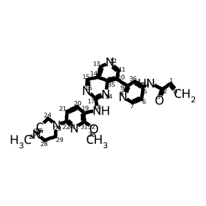 C=CC(=O)Nc1ccnc(-c2cncc3cnc(Nc4ccc(N5CCN(C)CC5)nc4OC)nc23)c1